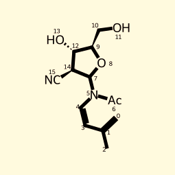 C=C(C)/C=C\N(C(C)=O)C1O[C@H](CO)[C@@H](O)[C@@H]1C#N